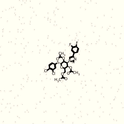 CC(=O)OCC1O[C@H](Sc2ccc(Cl)c(Cl)c2)C(OC(C)=O)[C@@H](n2cc(-c3ccc(F)c(F)c3)nn2)[C@H]1OC(C)=O